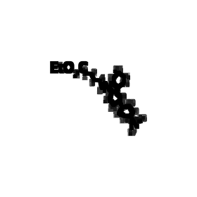 CCOC(=O)CCCCCn1c2c(c3cc(-c4ccc(N(C)C)cc4)ccc31)CCCC2